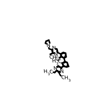 CCc1ncc(-c2cccc(-c3cccc(-c4cnc(CN5CCCC5)c(CC)n4)c3Cl)c2C)nc1CC